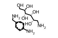 NC[C@H](O)[C@@H](O)[C@H](O)[C@H](O)CO.NCc1ccc(N)cc1